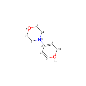 C1=CC(N2CCOCC2)=CCO1